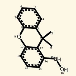 CC1(C)c2ccccc2Oc2cccc(BO)c21